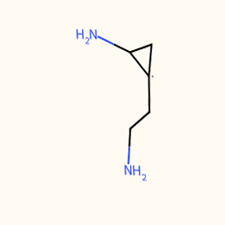 NCC[C]1CC1N